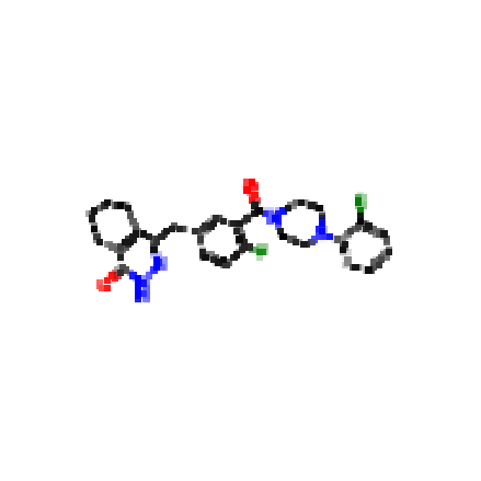 O=C(c1cc(Cc2n[nH]c(=O)c3c2CCCC3)ccc1F)N1CCN(c2ccccc2Cl)CC1